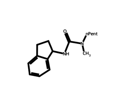 CCCCCN(C)C(=O)NC1CCc2ccccc21